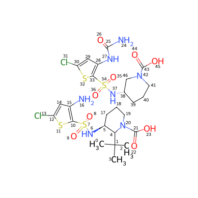 CC(C)(C)C1[C@@H](NS(=O)(=O)c2sc(Cl)cc2N)CCCN1C(=O)O.NC(=O)Nc1cc(Cl)sc1S(=O)(=O)N[C@H]1CCCN(C(=O)O)C1